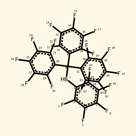 Fc1c(F)c(F)c(BC(c2c(F)c(F)c(F)c(F)c2F)(c2c(F)c(F)c(F)c(F)c2F)c2c(F)c(F)c(F)c(F)c2F)c(F)c1F